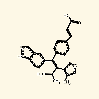 Cc1cscc1/C(=C(\c1ccc(/C=C/C(=O)O)cc1)c1ccc2[nH]ncc2c1)C(C)C